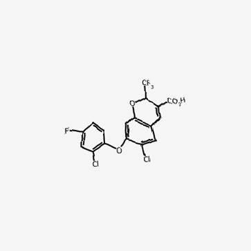 O=C(O)C1=Cc2cc(Cl)c(Oc3ccc(F)cc3Cl)cc2OC1C(F)(F)F